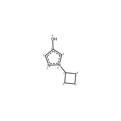 Oc1cnn(C2CCC2)c1